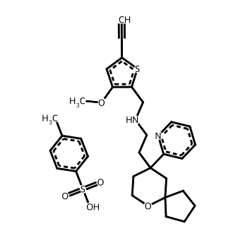 C#Cc1cc(OC)c(CNCCC2(c3ccccn3)CCOC3(CCCC3)C2)s1.Cc1ccc(S(=O)(=O)O)cc1